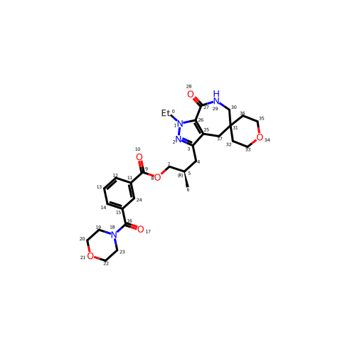 CCn1nc(C[C@@H](C)COC(=O)c2cccc(C(=O)N3CCOCC3)c2)c2c1C(=O)NCC1(CCOCC1)C2